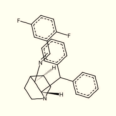 Fc1ccc(F)c(/C=N/[C@@H]2C3CCN(CC3)[C@H]2C(c2ccccc2)c2ccccc2)c1